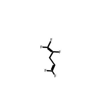 FC(F)=CCC(F)=C(F)F